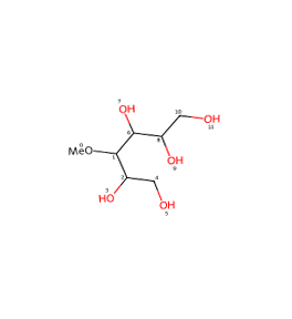 COC(C(O)CO)C(O)C(O)CO